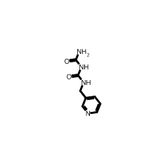 NC(=O)NC(=O)NCc1cccnc1